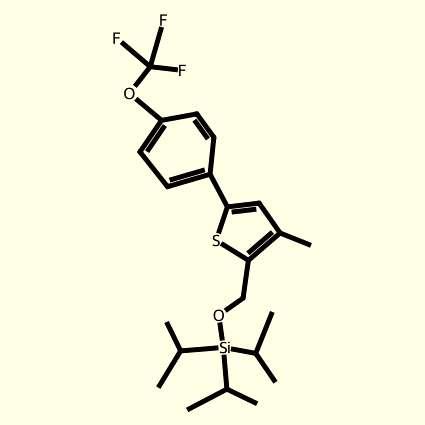 Cc1cc(-c2ccc(OC(F)(F)F)cc2)sc1CO[Si](C(C)C)(C(C)C)C(C)C